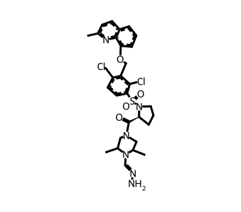 Cc1ccc2cccc(OCc3c(Cl)ccc(S(=O)(=O)N4CCC[C@H]4C(=O)N4CC(C)N(C=NN)C(C)C4)c3Cl)c2n1